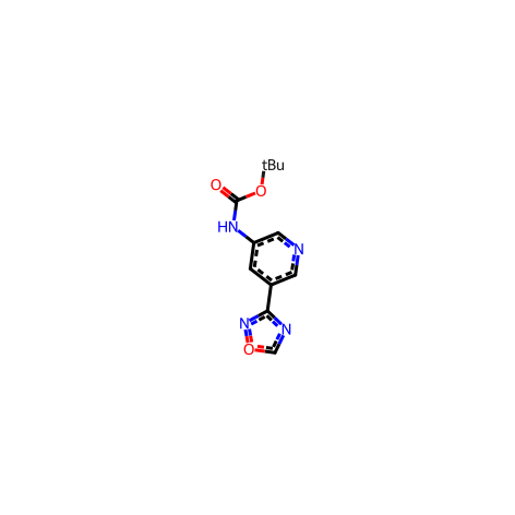 CC(C)(C)OC(=O)Nc1cncc(-c2ncon2)c1